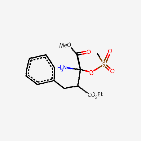 CCOC(=O)C(Cc1ccccc1)C(N)(OS(C)(=O)=O)C(=O)OC